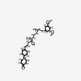 COc1cc(CCN(C)CCCNC(=O)C/C=C/c2ccc(-n3ccc(=O)cc3)cc2)cc(OC)c1